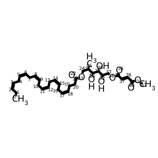 CC/C=C\C/C=C\C/C=C\C/C=C\C/C=C\C/C=C\CCC(=O)OC[C@@H](C)[C@@H](O)[C@H](O)[C@H](O)COC(=O)/C=C/C(=O)OC